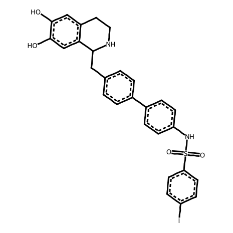 O=S(=O)(Nc1ccc(-c2ccc(CC3NCCc4cc(O)c(O)cc43)cc2)cc1)c1ccc(I)cc1